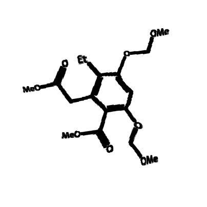 CCc1c(OCOC)cc(OCOC)c(C(=O)OC)c1CC(=O)OC